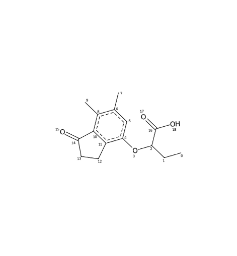 CCC(Oc1cc(C)c(C)c2c1CCC2=O)C(=O)O